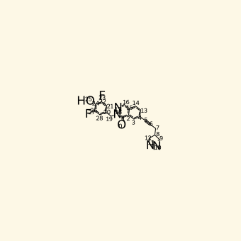 O=c1c2cc(C#CCC3C=NN=C3)ccc2cnn1Cc1cc(F)c(O)c(F)c1